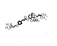 COC1C(OC(=O)/C=C/c2ccc(OCCN(C)C)cc2)CC[C@]2(CO2)C1C(C)OCC=C(C)C